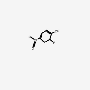 O=[N+]([O-])C1=CC=C(O)C(F)C1